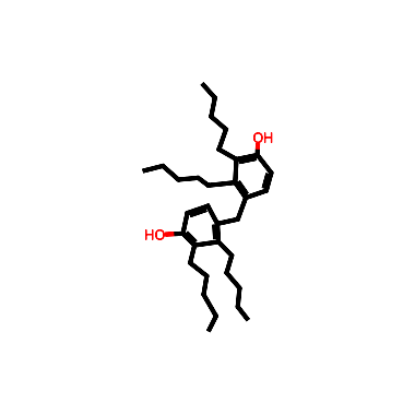 CCCCCc1c(O)ccc(Cc2ccc(O)c(CCCCC)c2CCCCC)c1CCCCC